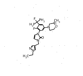 CCn1cc(Cn2ccn(-c3cc(N4CCO[C@H](C)C4)cc(C(F)(P)P)c3F)c2=O)cn1